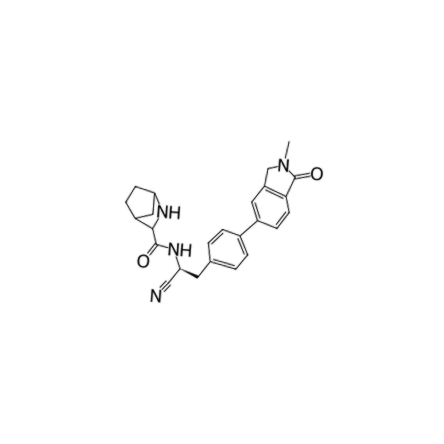 CN1Cc2cc(-c3ccc(C[C@@H](C#N)NC(=O)C4NC5CCC4C5)cc3)ccc2C1=O